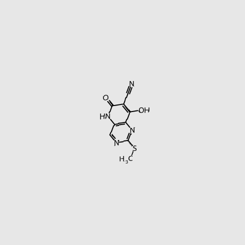 CSc1ncc2[nH]c(=O)c(C#N)c(O)c2n1